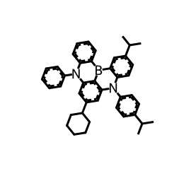 CC(C)c1ccc(N2c3ccc(C(C)C)cc3B3c4ccccc4N(c4ccccc4)c4cc(C5CCCCC5)cc2c43)cc1